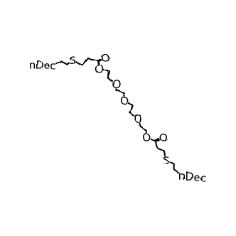 CCCCCCCCCCCCSCCC(=O)OCCOCCOCCOCCOC(=O)CCSCCCCCCCCCCCC